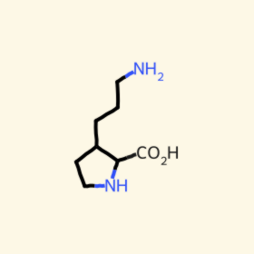 NCCCC1CCNC1C(=O)O